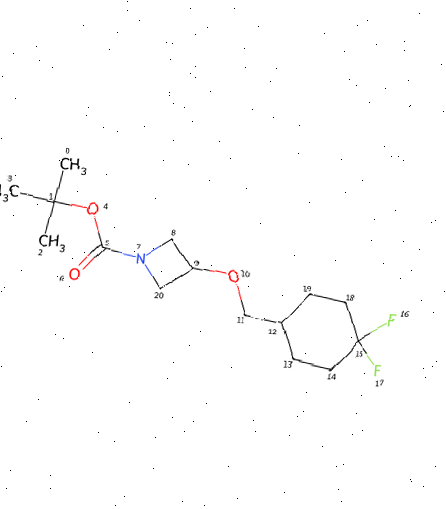 CC(C)(C)OC(=O)N1CC(OCC2CCC(F)(F)CC2)C1